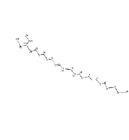 [CH2]CCCCCCCCCCCCCCCCCCCCCC(C[CH2])CC